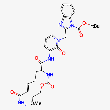 COCCOC(=O)NC(CCC=CC(N)=O)C(=O)Nc1cccn(Cc2nc3ccccc3n2C(=O)OC(C)(C)C)c1=O